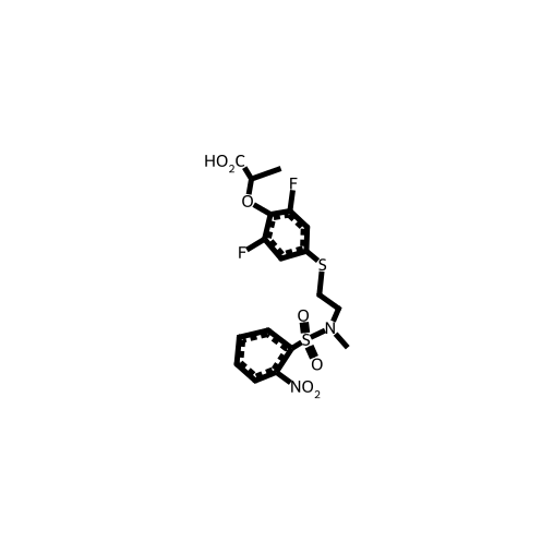 CC(Oc1c(F)cc(SCCN(C)S(=O)(=O)c2ccccc2[N+](=O)[O-])cc1F)C(=O)O